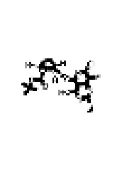 CSc1nc(O)c2c(OC[C@H]3NC[C@H]4CC[C@@H]3CN4C(=O)OC(C)(C)C)nc(Cl)c(F)c2n1